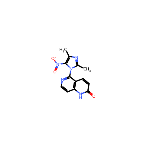 Cc1nc(C)n(-c2nccc3[nH]c(=O)ccc23)c1[N+](=O)[O-]